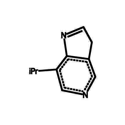 CC(C)c1cncc2c1N=CC2